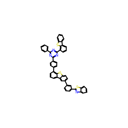 c1ccc(-c2nc(-c3ccc(-c4cccc5c4sc4ccc(-c6cccc(-c7nc8ccccc8s7)c6)cc45)cc3)nc(-c3cccc4c3sc3ccccc34)n2)cc1